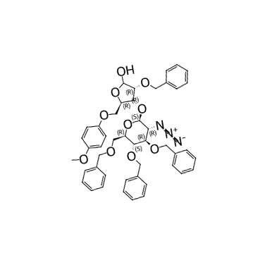 COc1ccc(OC[C@H]2OC(O)[C@H](OCc3ccccc3)[C@@H]2O[C@@H]2O[C@H](COCc3ccccc3)[C@@H](OCc3ccccc3)[C@H](OCc3ccccc3)[C@H]2N=[N+]=[N-])cc1